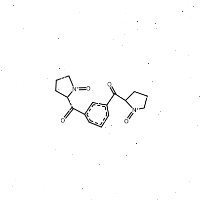 O=C(c1cccc(C(=O)C2CCC[N+]2=O)c1)C1CCC[N+]1=O